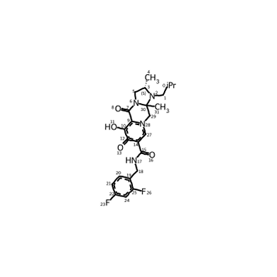 CC(C)CN1[C@@H](C)CN2C(=O)c3c(O)c(=O)c(C(=O)NCc4ccc(F)cc4F)cn3CC21C